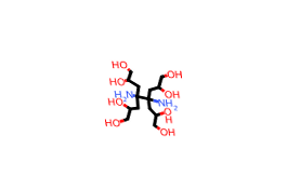 NC(CC(O)CO)(CC(O)CO)C(N)(CC(O)CO)CC(O)CO